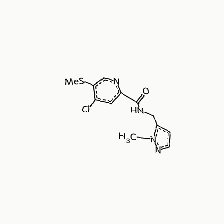 CSc1cnc(C(=O)NCc2ccnn2C)cc1Cl